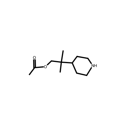 CC(=O)OCC(C)(C)C1CCNCC1